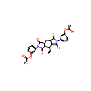 C=CC1C2C(=O)N(c3cccc(OC(=O)CC)c3)C(=O)C2CC2C(=O)N(c3cccc(OC(=O)CC)c3)C(=O)C21